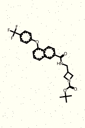 CC(C)(C)OC(=O)N1CC(CNC(=O)c2ccc3c(Oc4ccc(C(F)(F)F)cc4)cccc3c2)C1